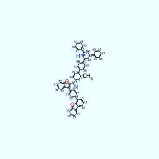 CC1C=C(c2nc3cc(-c4cccc5c4oc4ccccc45)ccc3c3c2oc2ccccc23)C=CC1c1ccc(C2=CC(c3ccccc3)=NC(c3ccccc3)N2)cc1